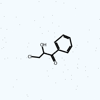 O=C(c1ccccc1)C(O)CCl